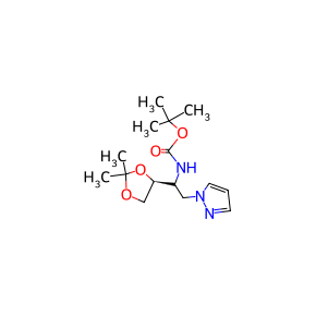 CC(C)(C)OC(=O)NC(Cn1cccn1)[C@H]1COC(C)(C)O1